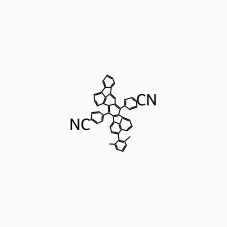 Cc1cccc(C)c1-c1ccc2c3c(-c4ccc(C#N)cc4)c4c(cc5c6ccccc6c6cccc4c65)c(-c4ccc(C#N)cc4)c3c3cccc1c32